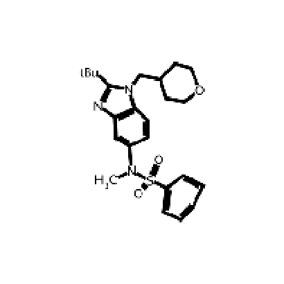 CN(c1ccc2c(c1)nc(C(C)(C)C)n2CC1CCOCC1)S(=O)(=O)c1ccccc1